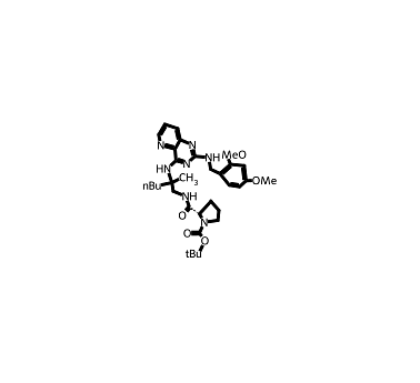 CCCCC(C)(CNC(=O)[C@@H]1CCCN1C(=O)OC(C)(C)C)Nc1nc(NCc2ccc(OC)cc2OC)nc2cccnc12